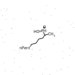 CCCCCCCCCC(C)[PH](=O)O